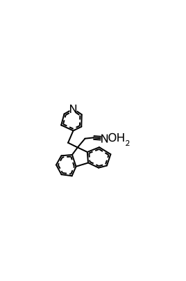 N#CCC1(Cc2ccncc2)c2ccccc2-c2ccccc21.O